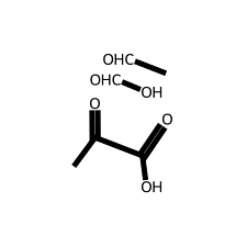 CC(=O)C(=O)O.CC=O.O=CO